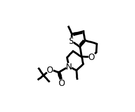 Cc1cc2c(s1)C1(CCN(C(=O)OC(C)(C)C)C(C)C1)OCC2